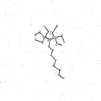 CCCCCCCCN([Si](CC)(CC)CC)[Si](CC)(CC)CC